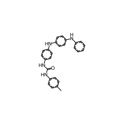 Cc1ccc(NC(=O)Nc2ccc(Nc3ccc(Nc4ccccc4)cc3)cc2)cc1